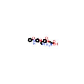 COc1cc2c(Oc3ccc(NC(=O)c4ccccc4)cc3)ccnc2cc1OCCC(N)C(=O)O